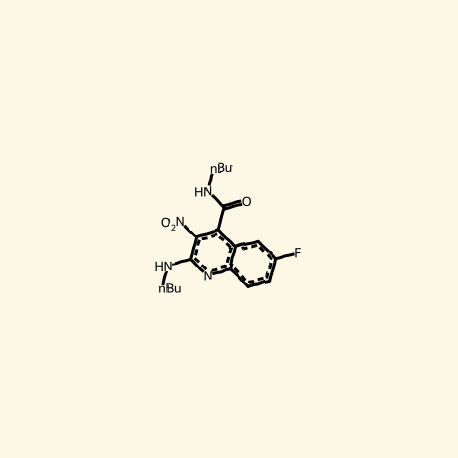 CCCCNC(=O)c1c([N+](=O)[O-])c(NCCCC)nc2ccc(F)cc12